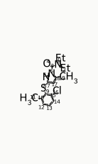 CCN(CC)C(=O)n1nc(Sc2c(C)cccc2Cl)cc1C